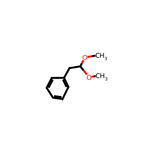 COC(Cc1c[c]ccc1)OC